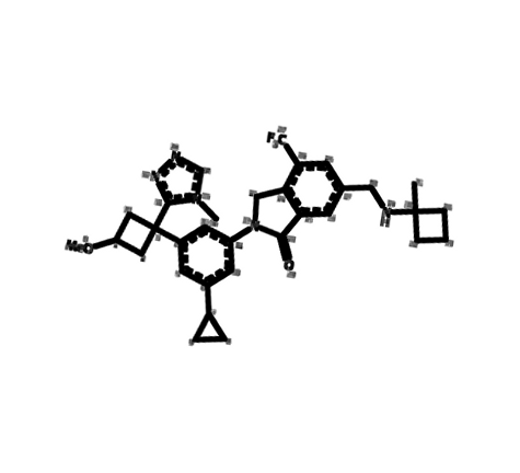 COC1CC(c2cc(C3CC3)cc(N3Cc4c(cc(CNC5(C)CCC5)cc4C(F)(F)F)C3=O)c2)(c2nncn2C)C1